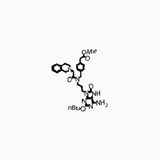 CCCCOc1nc(N)c2[nH]c(=O)n(CCCN(Cc3ccc(CC(=O)OC)cc3)C(=O)CN3CCc4ccccc4C3)c2n1